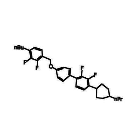 CCCCc1ccc(COc2ccc(-c3ccc(C4CCC(CCC)CC4)c(F)c3F)cc2)c(F)c1F